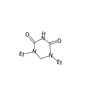 CCN1CN(CC)C(=O)NC1=O